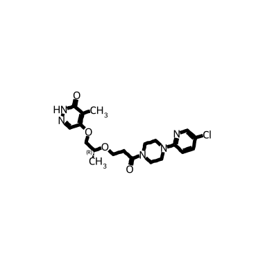 Cc1c(OC[C@@H](C)OCCC(=O)N2CCN(c3ccc(Cl)cn3)CC2)cn[nH]c1=O